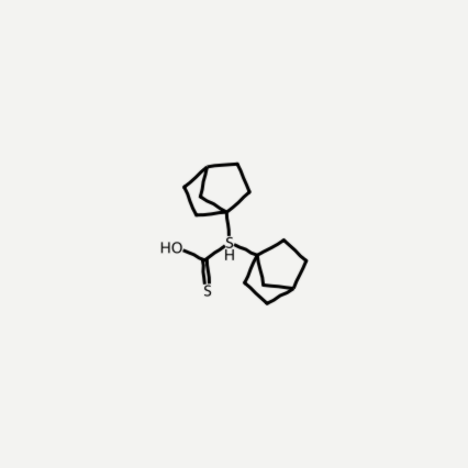 OC(=S)[SH](C12CCC(CC1)C2)C12CCC(CC1)C2